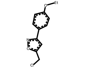 CCOc1ccc(-c2cc(CCl)on2)cc1